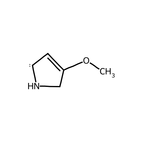 COC1=C[C]NC1